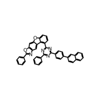 c1ccc(-c2nc(-c3ccc(-c4ccc5ccccc5c4)cc3)nc(-c3cccc4oc5cc6oc(-c7ccccc7)nc6cc5c34)n2)cc1